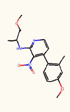 COCC(C)Nc1nccc(-c2ccc(OC)cc2C)c1[N+](=O)[O-]